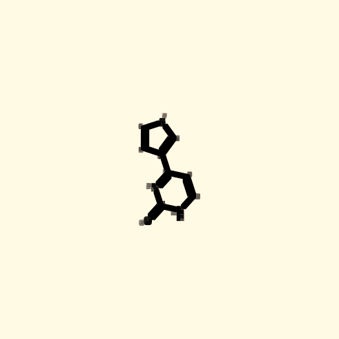 O=c1nc(-c2ccsc2)cc[nH]1